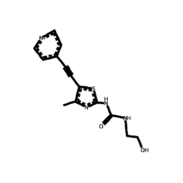 Cc1nc(NC(=O)NCCO)sc1C#Cc1ccncc1